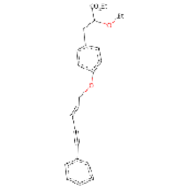 CCOC(=O)C(Cc1ccc(OC/C=C/C#Cc2ccccc2)cc1)OCC